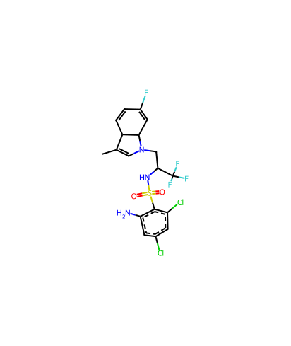 CC1=CN(CC(NS(=O)(=O)c2c(N)cc(Cl)cc2Cl)C(F)(F)F)C2C=C(F)C=CC12